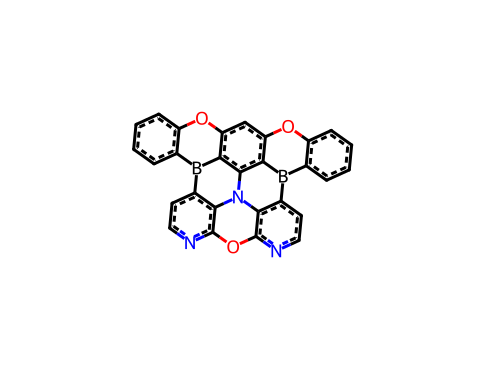 c1ccc2c(c1)Oc1cc3c4c5c1B2c1ccnc2c1N5c1c(ccnc1O2)B4c1ccccc1O3